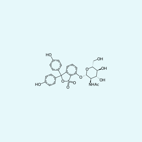 CC(=O)N[C@H]1[C@H](Oc2cccc3c2S(=O)(=O)OC3(c2ccc(O)cc2)c2ccc(O)cc2)O[C@H](CO)[C@@H](O)[C@@H]1O